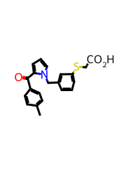 Cc1ccc(C(=O)c2cccn2Cc2cccc(SCC(=O)O)c2)cc1